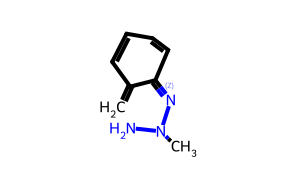 C=C1C=CC=C/C1=N/N(C)N